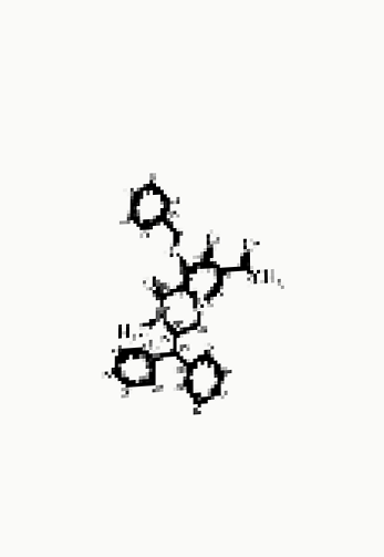 CC(=O)c1cn2c(c(OCc3ccccc3)c1=O)C(=O)N(C)[C@H](C(c1ccccc1)c1ccccc1)C2